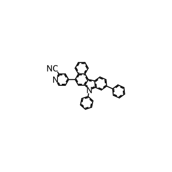 N#Cc1cc(-c2cc3c(c4ccccc24)c2ccc(-c4ccccc4)cc2n3-c2ccccc2)ccn1